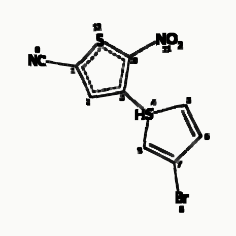 N#Cc1cc([SH]2C=CC(Br)=C2)c([N+](=O)[O-])s1